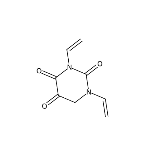 C=CN1CC(=O)C(=O)N(C=C)C1=O